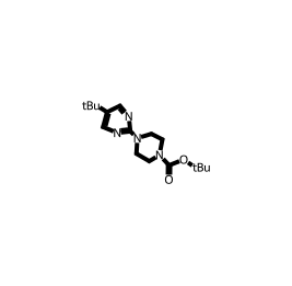 CC(C)(C)OC(=O)N1CCN(c2ncc(C(C)(C)C)cn2)CC1